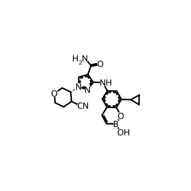 N#CC1CCOC[C@@H]1n1cc(C(N)=O)c(Nc2cc3c(c(C4CC4)c2)OB(O)C=C3)n1